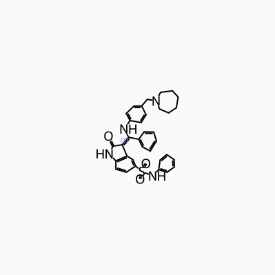 O=C1Nc2ccc(S(=O)(=O)Nc3ccccc3)cc2/C1=C(/Nc1ccc(CN2CCCCCC2)cc1)c1ccccc1